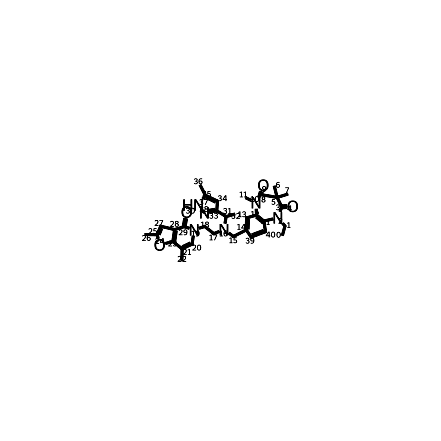 CCN1C(=O)C(C)(C)C(=O)N(C)c2cc(CN(CCn3cc(C)c4oc(C)cc4c3=O)C(C)c3cc(C)[nH]n3)ccc21